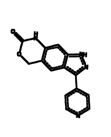 O=C1Nc2cc3[nH]nc(-c4ccncc4)c3cc2CO1